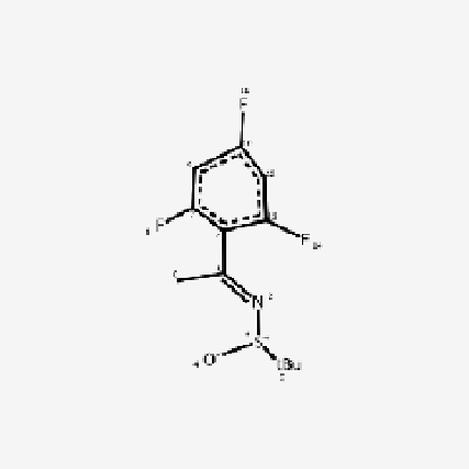 CC(=N[S+]([O-])C(C)(C)C)c1c(F)cc(F)cc1F